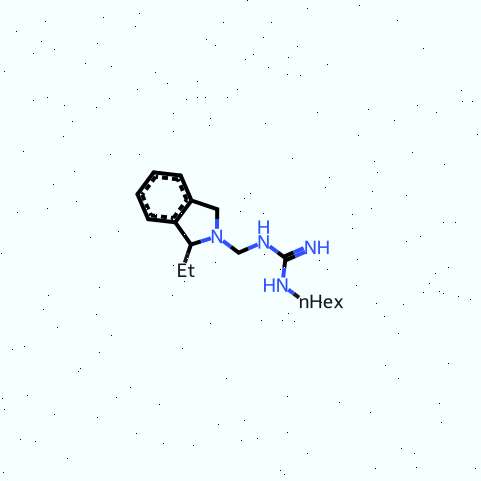 CCCCCCNC(=N)NCN1Cc2ccccc2C1CC